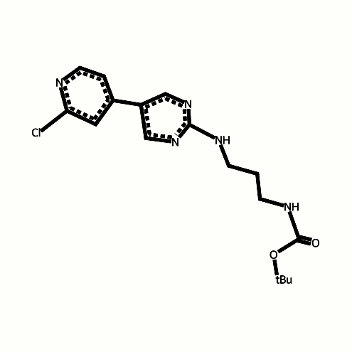 CC(C)(C)OC(=O)NCCCNc1ncc(-c2ccnc(Cl)c2)cn1